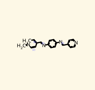 C=N\C=C/C(/C=N/c1ccc(/N=C/c2ccncc2)cc1)=C\C